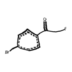 O=C(CF)c1ccc(Br)cc1